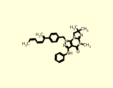 C=C(/C=C\C=C/C)c1ccc(Cn2nc(Nc3ccccc3)c3c2N2CC(C)(C)N=C2N(C)C3=O)cc1